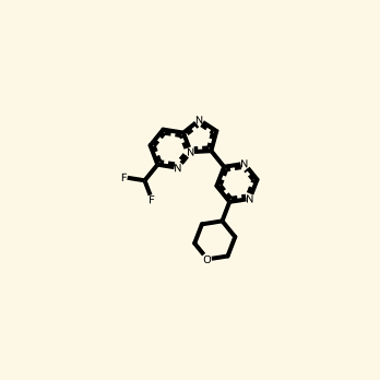 FC(F)c1ccc2ncc(-c3cc(C4CCOCC4)ncn3)n2n1